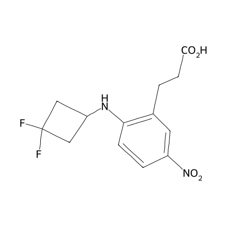 O=C(O)CCc1cc([N+](=O)[O-])ccc1NC1CC(F)(F)C1